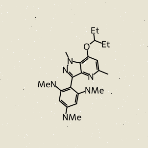 CCC(CC)Oc1cc(C)nc2c(-c3c(NC)cc(NC)cc3NC)nn(C)c12